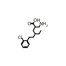 CCC(CCc1ccccc1Cl)CC(CN)C(=O)O